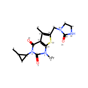 CCCn1c(=O)n(C2CC2C)c(=O)c2c(C)c(CN3CCNC3=O)sc21